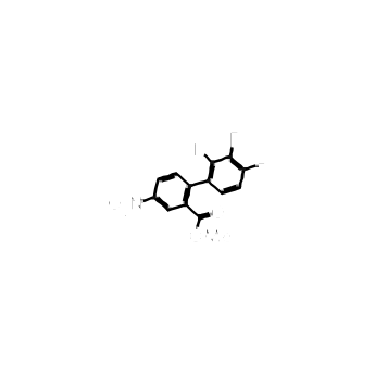 COC(=O)c1cc([N+](=O)[O-])ccc1-c1ccc(F)c(F)c1F